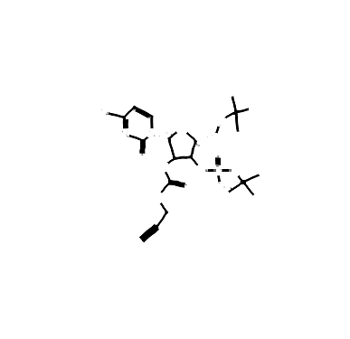 C#CCOC(=O)OC1C(OP(=O)(O)OC(C)(C)C)[C@@H](COC(C)(C)C)O[C@H]1n1ccc(N)nc1=O